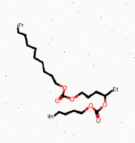 CCC(CCCOC(=O)OCCCCCCCCCC(C)C)OC(=O)OCCCCC(C)C